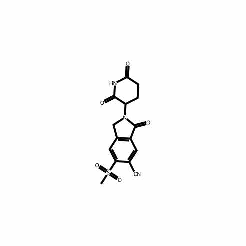 CS(=O)(=O)c1cc2c(cc1C#N)C(=O)N(C1CCC(=O)NC1=O)C2